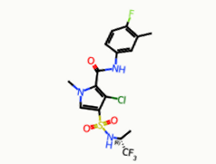 Cc1cc(NC(=O)c2c(Cl)c(S(=O)(=O)N[C@H](C)C(F)(F)F)cn2C)ccc1F